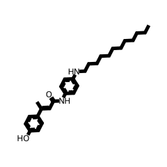 CCCCCCCCCCCCNc1ccc(NC(=O)/C=C(\C)c2ccc(O)cc2)cc1